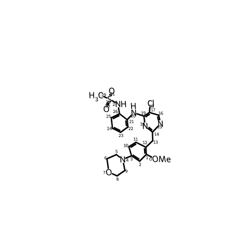 COc1cc(N2CCOCC2)ccc1Cc1ncc(Cl)c(Nc2ccccc2NS(C)(=O)=O)n1